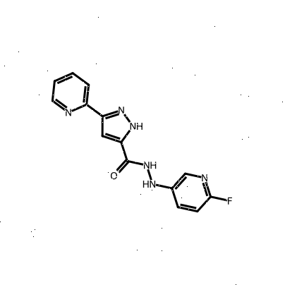 O=C(NNc1ccc(F)nc1)c1cc(-c2ccccn2)n[nH]1